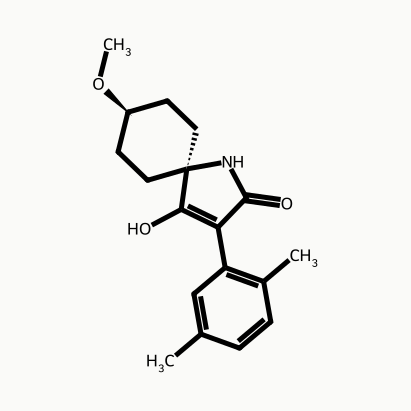 CO[C@H]1CC[C@]2(CC1)NC(=O)C(c1cc(C)ccc1C)=C2O